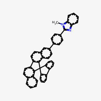 Cn1c(-c2ccc(-c3ccc4c5c(ccc4c3)-c3ccc4ccccc4c3C53c4ccccc4-c4ccccc43)cc2)nc2ccccc21